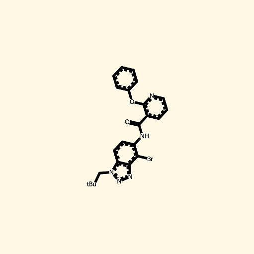 CC(C)(C)Cn1nnc2c(Br)c(NC(=O)c3cccnc3Oc3ccccc3)ccc21